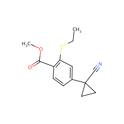 CCSc1cc(C2(C#N)CC2)ccc1C(=O)OC